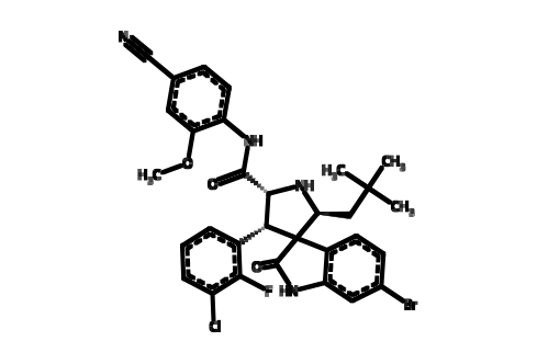 COc1cc(C#N)ccc1NC(=O)[C@@H]1N[C@@H](CC(C)(C)C)C2(C(=O)Nc3cc(Br)ccc32)[C@@H]1c1cccc(Cl)c1F